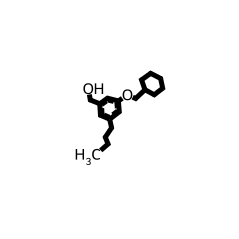 CCCCc1cc(CO)cc(OCC2CCCCC2)c1